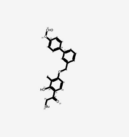 Cc1c(OCc2cccc(-c3ccc(OC=O)cc3)c2)ccc(C(=O)CC(C)(C)C)c1O